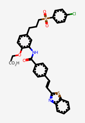 O=C(O)COc1ccc(CCCS(=O)(=O)c2ccc(Cl)cc2)cc1NC(=O)c1ccc(/C=C/c2nc3ccccc3s2)cc1